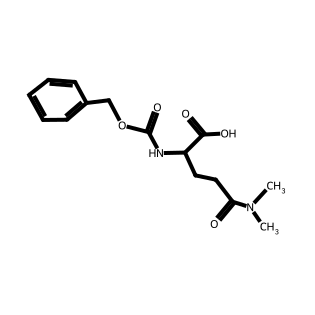 CN(C)C(=O)CCC(NC(=O)OCc1ccccc1)C(=O)O